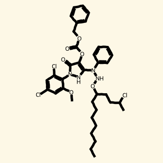 CCCCCCCCC(CCC(C)Cl)ONN(c1ccccc1)c1[nH]n(-c2c(Cl)cc(Cl)cc2OC)c(=O)c1OC(=O)OCc1ccccc1